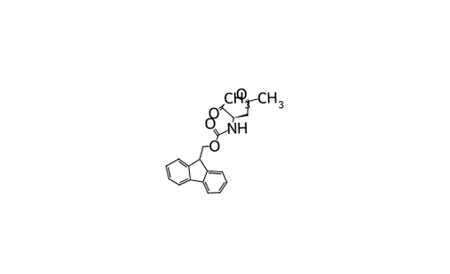 CC(=O)C[C@@H](NC(=O)OCC1c2ccccc2-c2ccccc21)C(C)=O